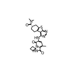 Cc1cc(Nc2ncnc3sc4c(c23)CC[C@H](C(=O)N(C)C)C4)c(=O)n2c1C(=O)NC21CCC1